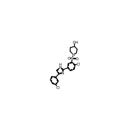 O=S(=O)(c1cc(-c2nc(-c3cccc(Cl)c3)c[nH]2)ccc1Cl)N1CCC(O)CC1